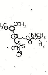 COc1cc(OC)cc(-c2cc(CCCOC(=O)[C@@H](N)CC(C)C)c(C=C3SC(=S)N(C4CC5CCC4C5)C3=O)o2)c1